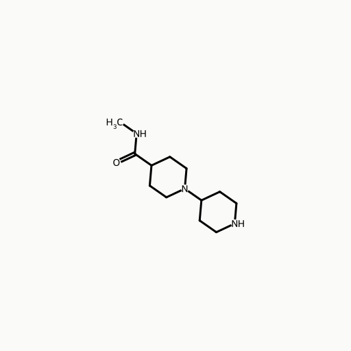 CNC(=O)C1CCN(C2CCNCC2)CC1